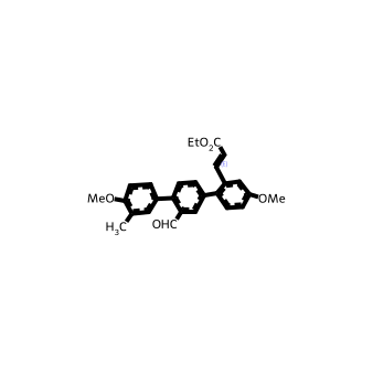 CCOC(=O)/C=C/c1cc(OC)ccc1-c1ccc(-c2ccc(OC)c(C)c2)c(C=O)c1